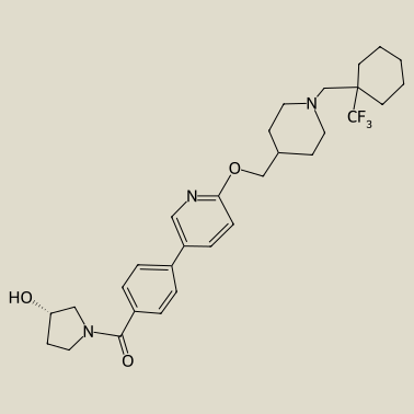 O=C(c1ccc(-c2ccc(OCC3CCN(CC4(C(F)(F)F)CCCCC4)CC3)nc2)cc1)N1CC[C@H](O)C1